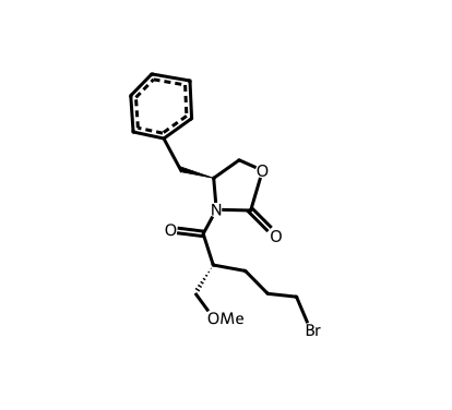 COC[C@@H](CCCBr)C(=O)N1C(=O)OC[C@@H]1Cc1ccccc1